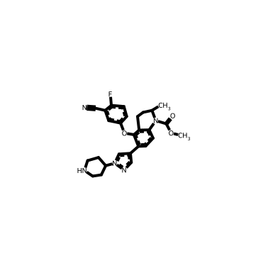 COC(=O)N1c2ccc(-c3cnn(C4CCNCC4)c3)c(Oc3ccc(F)c(C#N)c3)c2CCC1C